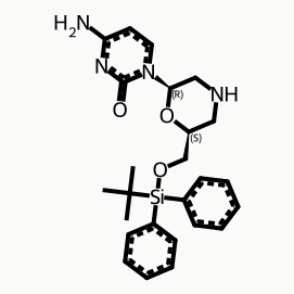 CC(C)(C)[Si](OC[C@@H]1CNC[C@H](n2ccc(N)nc2=O)O1)(c1ccccc1)c1ccccc1